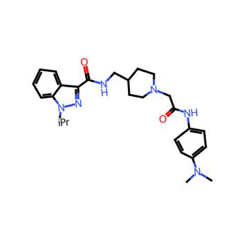 CC(C)n1nc(C(=O)NCC2CCN(CC(=O)Nc3ccc(N(C)C)cc3)CC2)c2ccccc21